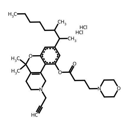 C#CCN1CCC2=C(C1)c1c(OC(=O)CCCN3CCOCC3)cc(C(C)C(C)CCCCC)cc1OC2(C)C.Cl.Cl